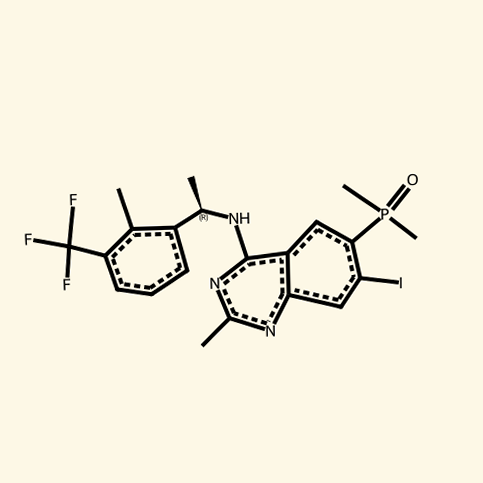 Cc1nc(N[C@H](C)c2cccc(C(F)(F)F)c2C)c2cc(P(C)(C)=O)c(I)cc2n1